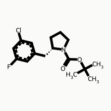 CC(C)(C)OC(=O)N1CCC[C@H]1Cc1cc(F)cc(Cl)c1